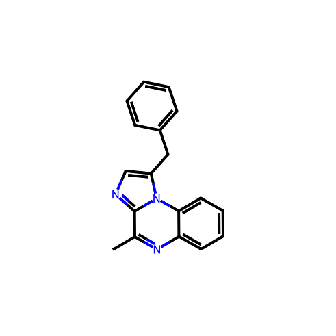 Cc1nc2ccccc2n2c(Cc3ccccc3)cnc12